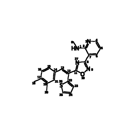 CNc1ncccc1-c1noc(C(=Cc2ccc(C)c(C)c2)c2cccs2)n1